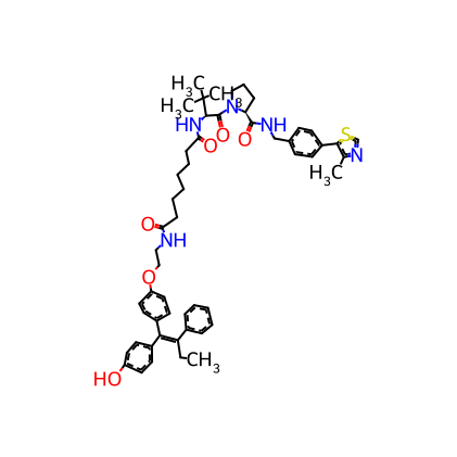 CC/C(=C(\c1ccc(O)cc1)c1ccc(OCCNC(=O)CCCCCCC(=O)N[C@H](C(=O)N2CCC[C@H]2C(=O)NCc2ccc(-c3scnc3C)cc2)C(C)(C)C)cc1)c1ccccc1